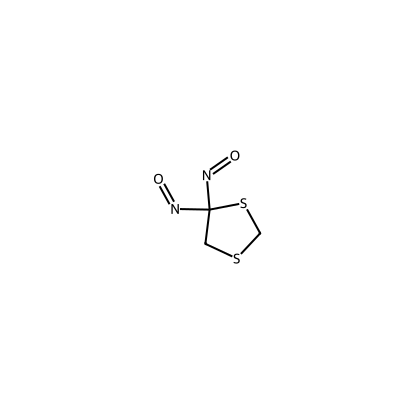 O=NC1(N=O)CSCS1